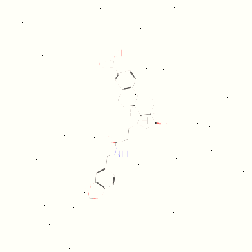 C[C@]12CC[C@@H]3c4ccc(B(O)O)cc4CC[C@H]3[C@@H]1[C@H](CCC(=O)NCc1ccc3c(c1)OCO3)CC2=O